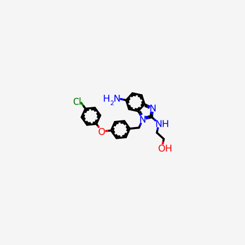 Nc1ccc2nc(NCCO)n(Cc3ccc(Oc4ccc(Cl)cc4)cc3)c2c1